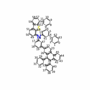 c1ccc(-c2cc(-c3ccccc3)cc(N(c3cccc(-c4ccc5c(c4)c(-c4ccccc4)c(-c4ccccc4)c4ccccc45)c3)c3cccc4c3sc3ccccc34)c2)cc1